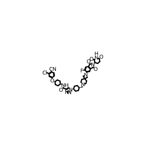 N#Cc1ccc(O[C@H]2CC[C@H](NC(=O)c3cn([C@H]4CC[C@H](CN5CCC6(CC5)CN(c5cc7c(cc5F)C(=O)N(C5CCC(=O)NC5=O)C7=O)C6)CC4)nn3)CC2)cc1Cl